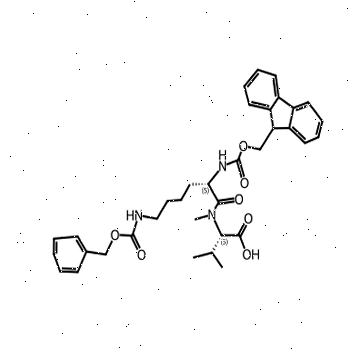 CC(C)[C@@H](C(=O)O)N(C)C(=O)[C@H](CCCCNC(=O)OCc1ccccc1)NC(=O)OCC1c2ccccc2-c2ccccc21